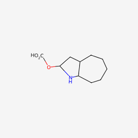 O=C(O)OC1CC2CCCCCC2N1